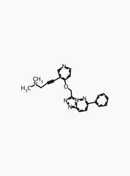 CN(C)CC#Cc1cnccc1OCc1nnc2ccc(-c3ccccc3)nn12